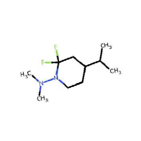 CC(C)C1CCN(N(C)C)C(F)(F)C1